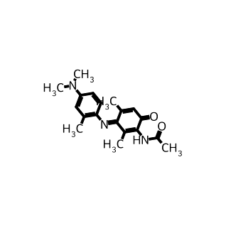 CC(=O)NC1=C(C)C(=Nc2ccc(N(C)C)cc2C)C(C)=CC1=O